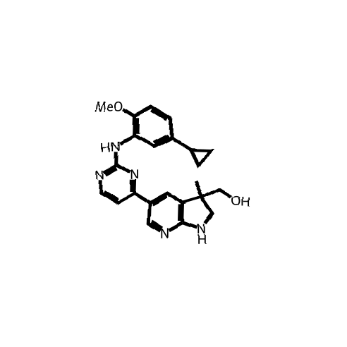 COc1ccc(C2CC2)cc1Nc1nccc(-c2cnc3c(c2)C(C)(CO)CN3)n1